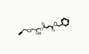 C#CCOCC(O)COC(=O)/C=C/C(=O)OCc1ccccc1